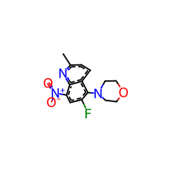 Cc1ccc2c(N3CCOCC3)c(F)cc([N+](=O)[O-])c2n1